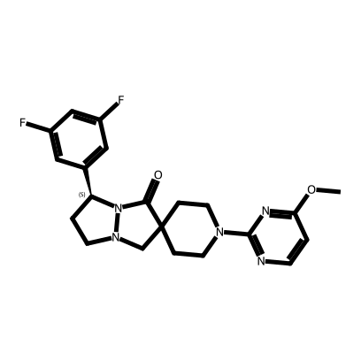 COc1ccnc(N2CCC3(CC2)CN2CC[C@@H](c4cc(F)cc(F)c4)N2C3=O)n1